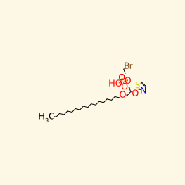 CCCCCCCCCCCCCCCCCCOCC(COP(=O)(O)OCCBr)Oc1nccs1